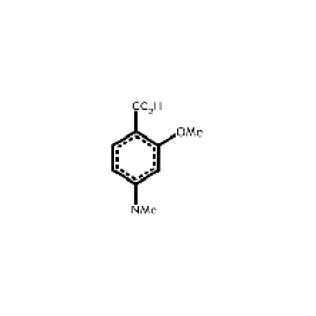 CNc1ccc(C(=O)O)c(OC)c1